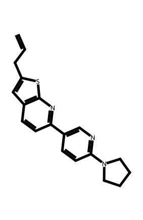 C=CCc1cc2ccc(-c3ccc(N4CCCC4)nc3)nc2s1